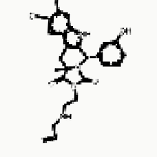 C=CCNCCN1C(=O)N2[C@H](c3cccc(O)c3)c3[nH]c4cc(F)c(Cl)cc4c3C[C@@]2(C)C1=O